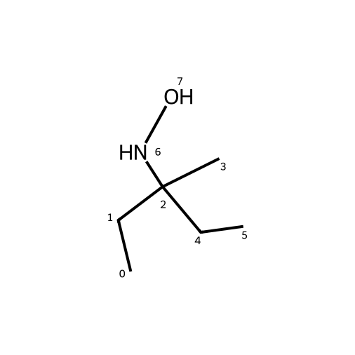 CCC(C)(CC)NO